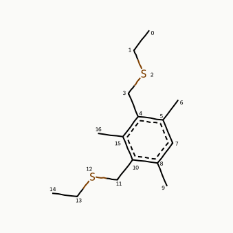 CCSCc1c(C)cc(C)c(CSCC)c1C